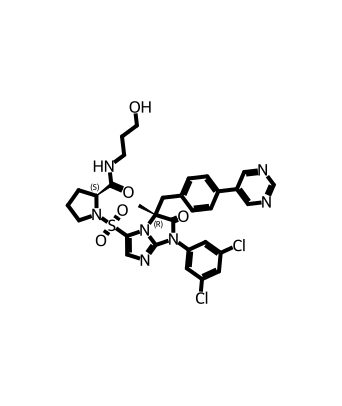 C[C@@]1(Cc2ccc(-c3cncnc3)cc2)C(=O)N(c2cc(Cl)cc(Cl)c2)c2ncc(S(=O)(=O)N3CCC[C@H]3C(=O)NCCCO)n21